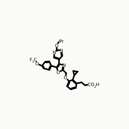 CC(C)Oc1ncc(-c2nc(COc3cccc(CCC(=O)O)c3C3CC3)oc2-c2ccc(OC(F)(F)F)cc2)cn1